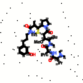 CCSC(C(C)C(=O)NCCCc1cccc(O)c1)C1CCCN1C(=O)CC(OC)C(C(C)CC)N(C)C(=O)C(NC(=O)C(C(C)C)N(C)C)C(C)C